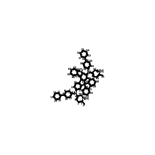 CC1=CC=C(N(c2ccc(-c3ccccc3)cc2)c2ccc3c(c2)C2(c4ccccc4-c4ccccc42)c2cc(N(C4=CC=C(C)NC4)c4ccc(-c5ccccc5)cc4)c4oc5ccccc5c4c2-3)CN1